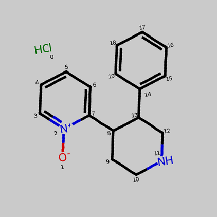 Cl.[O-][n+]1ccccc1C1CCNCC1c1ccccc1